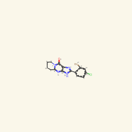 O=c1c2nc(-c3ccc(Cl)cc3Br)[nH]c2nc2n1CCCC2